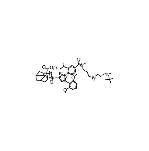 COc1cccc(OC)c1-c1cc(C(=O)NC2(C(=O)O)C3CC4CC(C3)CC2C4)nn1-c1ccc(C(=O)N(C)CCCN(C)CCCN(C)C(C)(C)C)cc1C(C)C